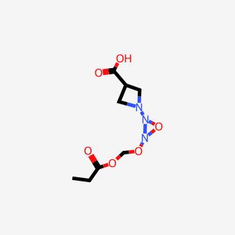 CCC(=O)OCOn1on1N1CC(C(=O)O)C1